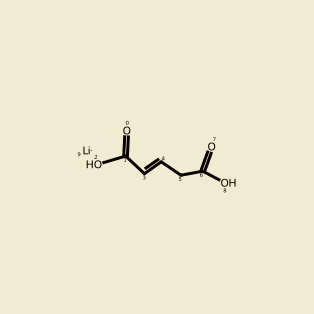 O=C(O)C=CCC(=O)O.[Li]